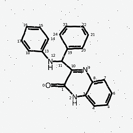 O=c1[nH]c2ccccc2nc1C(Nc1ccccc1)c1ccccc1